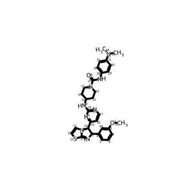 COc1cccc(C2N=C3SC=CN3C2c2ccnc(NC3CCN(C(=O)Nc4ccc(N(C)C)cc4)CC3)n2)c1